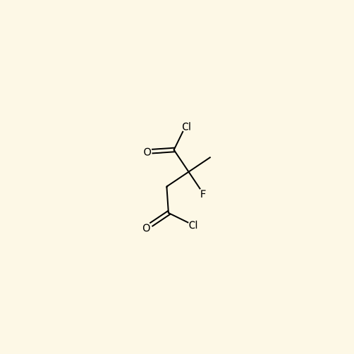 CC(F)(CC(=O)Cl)C(=O)Cl